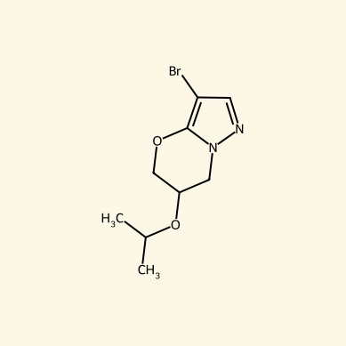 CC(C)OC1COc2c(Br)cnn2C1